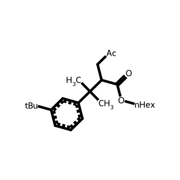 CCCCCCOC(=O)C(CC(C)=O)C(C)(C)c1cccc(C(C)(C)C)c1